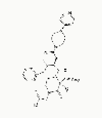 CO[C@]1(C=C=O)C(=O)N(CC(=O)O)CCN1C(=O)[C@H](CC(=O)N1CCN(c2ccncc2)CC1)N(C)Cc1ccccc1